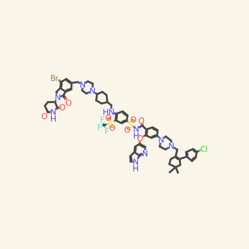 CC1(C)CCC(CN2CCN(c3ccc(C(=O)NS(=O)(=O)c4ccc(NCC5CCC(N6CCN(Cc7cc(Br)c8c(c7)C(=O)N(C7CCC(=O)NC7=O)C8)CC6)CC5)c(S(=O)(=O)C(F)(F)F)c4)c(Oc4cnc5[nH]ccc5c4)c3)CC2)=C(c2ccc(Cl)cc2)C1